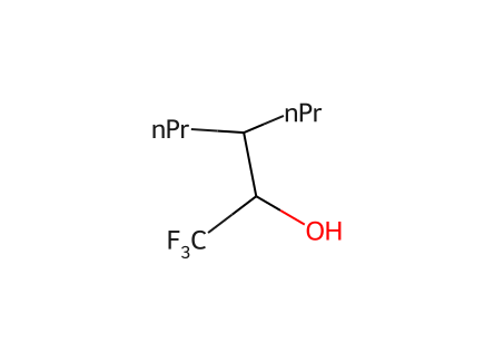 CCCC(CCC)C(O)C(F)(F)F